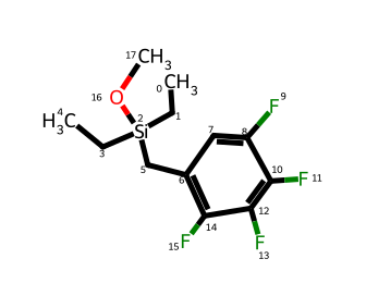 CC[Si](CC)(Cc1cc(F)c(F)c(F)c1F)OC